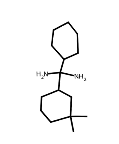 CC1(C)CCCC(C(N)(N)C2CCCCC2)C1